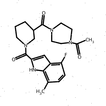 CC(=O)N1CCN(C(=O)C2CCCN(C(=O)c3cc4c(F)ccc(C)c4[nH]3)C2)CC1